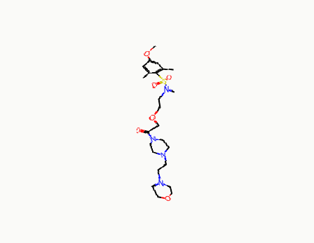 COc1cc(C)c(S(=O)(=O)N(C)CCOCC(=O)N2CCN(CCN3CCOCC3)CC2)c(C)c1